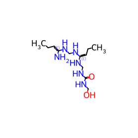 CC/C=C(\N)NCN/C(=C\CC)NCNC(=O)NCO